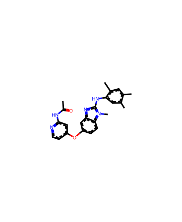 CC(=O)Nc1cc(Oc2ccc3c(c2)nc(Nc2cc(C)c(C)cc2C)n3C)ccn1